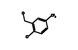 [O]Cc1cc(C(F)(F)F)ccc1Cl